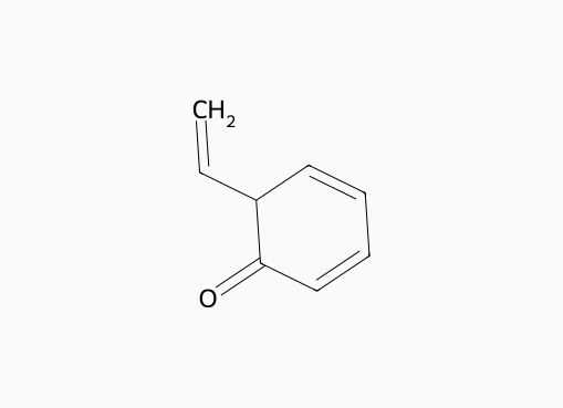 C=CC1C=CC=CC1=O